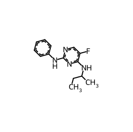 CCC(C)Nc1nc(Nc2ccccc2)ncc1F